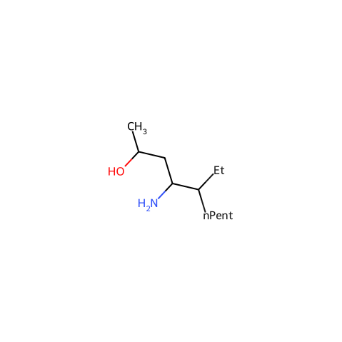 CCCCCC(CC)C(N)CC(C)O